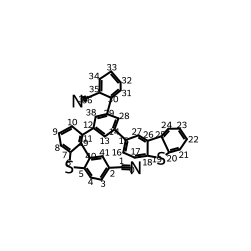 N#Cc1ccc2sc3cccc(-c4cc(-c5ccc6sc7ccccc7c6c5)cc(-c5ccccc5C#N)c4)c3c2c1